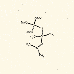 CO[Si](OC)(OC)O[Si](C)(C)O[SiH](C)C